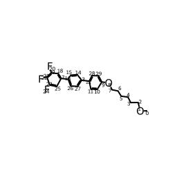 COCCCCCCOc1ccc(-c2ccc(-c3cc(F)c(F)c(F)c3)cc2)cc1